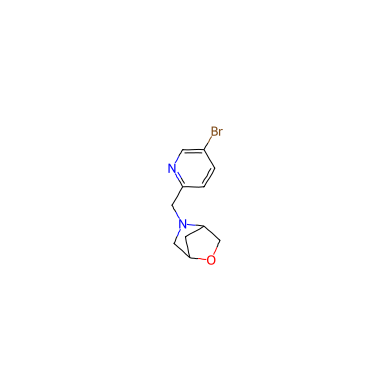 Brc1ccc(CN2CC3CC2CO3)nc1